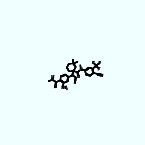 CNC(=O)c1ccc(N(C=S)C2(C(=O)N(C)c3ccc(C#N)c(C(F)(F)F)c3)CCCC(C)(C)C2)cc1N